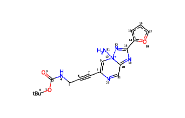 CC(C)(C)OC(=O)NCC#CC1=C[N+]2(N)N=C(c3ccco3)N=C2C=N1